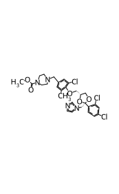 COC(=O)N1CCN(Cc2cc(C)c(OC[C@@H]3CO[C@@](Cn4ccnc4)(c4ccc(Cl)cc4Cl)O3)c(Cl)c2)CC1